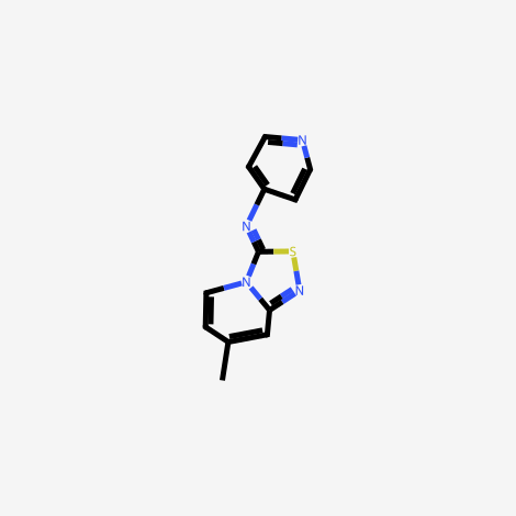 Cc1ccn2c(=Nc3ccncc3)snc2c1